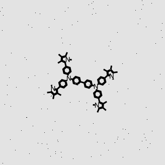 Cc1c(C)c(-c2ccc(N(c3ccc(-c4ccc(N(c5ccc(-c6c(C)c(C)c(C)n6C)cc5)c5ccc(-c6c(C)c(C)c(C)n6C)cc5)cc4)cc3)c3ccc(-c4c(C)c(C)c(C)n4C)cc3)cc2)n(C)c1C